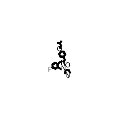 CC(C)COc1ccc(CN2Cc3ccc(F)cc3CN(C3CCN(C)C3)C2=O)cc1